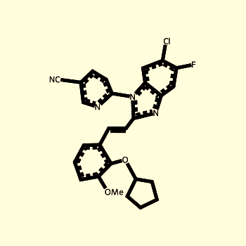 COc1cccc(/C=C/c2nc3cc(F)c(Cl)cc3n2-c2ccc(C#N)cn2)c1OC1CCCC1